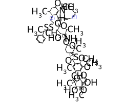 C#C/C=C\C#C[C@H](OC1CC(O)[C@H](NOC2CC[C@H](SC(=O)c3c(C)c(C)c(OC4O[C@@H](C)C(O)[C@@H](OC)[C@H]4O)c(OC)c3OC)C(C)O2)C(C)O1)C1=C(NC)C(=O)CC(C)/C1=C/CSSC(C)(C)c1ccccc1